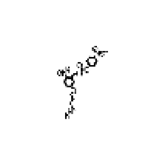 [N-]=[N+]=NCCCOc1ccc([N+](=O)[O-])c(COC(=O)Oc2ccc([N+](=O)[O-])cc2)c1